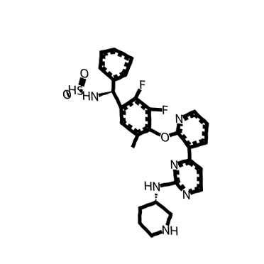 Cc1cc([C@@H](N[SH](=O)=O)c2ccccc2)c(F)c(F)c1Oc1ncccc1-c1ccnc(N[C@H]2CCCNC2)n1